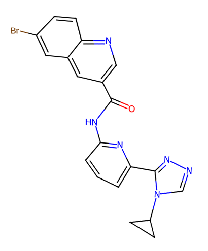 O=C(Nc1cccc(-c2nncn2C2CC2)n1)c1cnc2ccc(Br)cc2c1